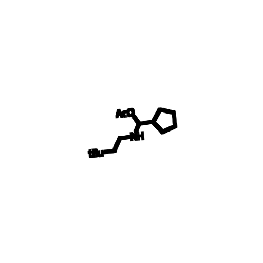 CC(=O)OC(NCCC(C)(C)C)C1CCCC1